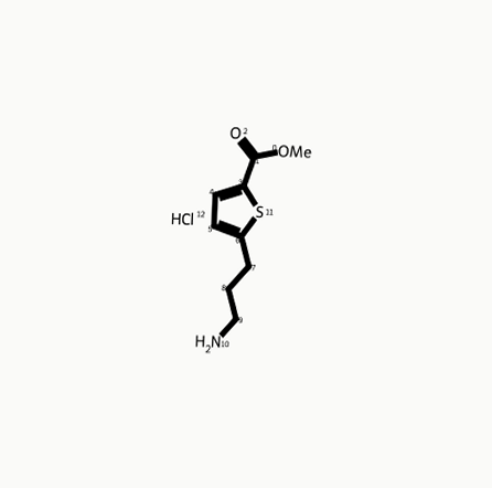 COC(=O)c1ccc(CCCN)s1.Cl